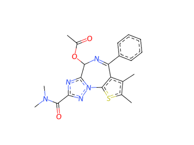 CC(=O)OC1N=C(c2ccccc2)c2c(sc(C)c2C)-n2nc(C(=O)N(C)C)nc21